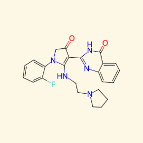 O=C1CN(c2ccccc2F)C(NCCN2CCCC2)=C1c1nc2ccccc2c(=O)[nH]1